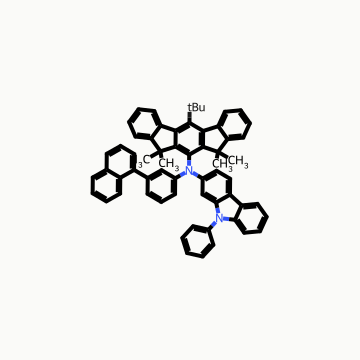 CC(C)(C)c1c2c(c(N(c3cccc(-c4cccc5ccccc45)c3)c3ccc4c5ccccc5n(-c5ccccc5)c4c3)c3c1-c1ccccc1C3(C)C)C(C)(C)c1ccccc1-2